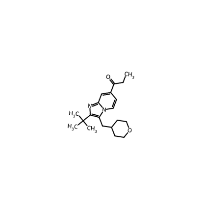 CCC(=O)c1ccn2c(CC3CCOCC3)c(C(C)(C)C)nc2c1